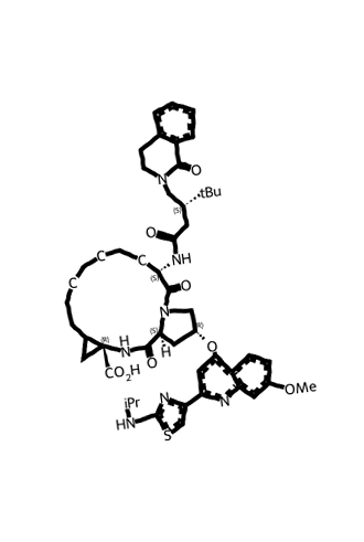 COc1ccc2c(O[C@@H]3C[C@H]4C(=O)N[C@]5(C(=O)O)CC5CCCCCCC[C@H](NC(=O)C[C@H](CN5CCc6ccccc6C5=O)C(C)(C)C)C(=O)N4C3)cc(-c3csc(NC(C)C)n3)nc2c1